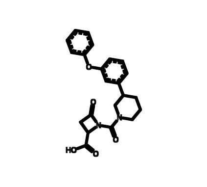 O=C(O)C1CC(=O)N1C(=O)N1CCCC(c2cccc(Oc3ccccc3)c2)C1